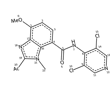 COc1ccc(C(=O)Nc2c(Cl)cncc2Cl)c2c1nc(C(C)=O)n2C